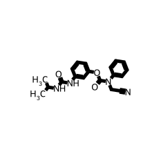 CC(C)NC(=O)Nc1cccc(OC(=O)N(CC#N)c2ccccc2)c1